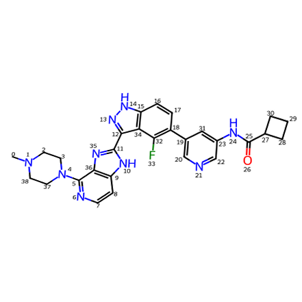 CN1CCN(c2nccc3[nH]c(-c4n[nH]c5ccc(-c6cncc(NC(=O)C7CCC7)c6)c(F)c45)nc23)CC1